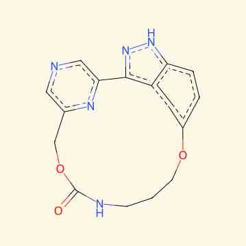 O=C1NCCCOc2ccc3[nH]nc(c3c2)-c2cncc(n2)CO1